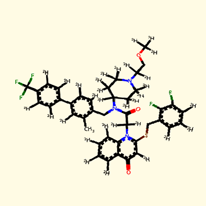 [2H]c1c([2H])c(F)c(F)c(CSc2c([2H])c(=O)c3c([2H])c([2H])c([2H])c([2H])c3n2C([2H])([2H])C(=O)N(Cc2c([2H])c([2H])c(-c3c([2H])c([2H])c(C(F)(F)F)c([2H])c3[2H])c([2H])c2C)C2([2H])C([2H])([2H])C([2H])([2H])N(C([2H])([2H])COC([2H])([2H])[2H])C([2H])([2H])C2([2H])[2H])c1[2H]